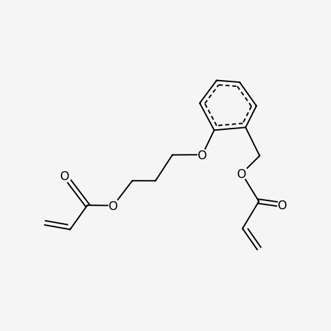 C=CC(=O)OCCCOc1ccccc1COC(=O)C=C